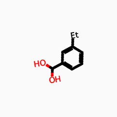 CCc1cccc(C(O)O)c1